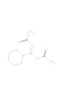 CC(=O)O[SiH](OC(C)=O)C1CCCCO1